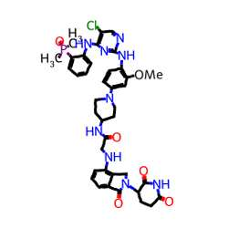 COc1cc(N2CCC(NC(=O)CNc3cccc4c3CN(C3CCC(=O)NC3=O)C4=O)CC2)ccc1Nc1ncc(Cl)c(Nc2ccccc2P(C)(C)=O)n1